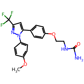 COc1ccc(-n2nc(C(F)(F)F)cc2-c2ccc(OCCNC(N)=O)cc2)cc1